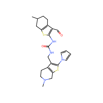 CC1CCc2c(sc(NC(=O)NCc3c(-n4cccc4)sc4c3CCN(C)C4)c2C=O)C1